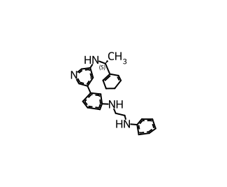 C[C@H](Nc1cncc(-c2cccc(NCCNc3ccccc3)c2)c1)C1=CCCC=C1